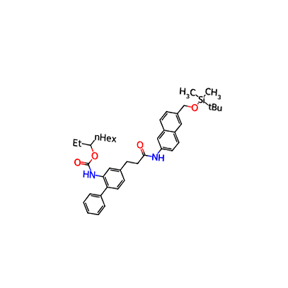 CCCCCCC(CC)OC(=O)Nc1cc(CCC(=O)Nc2ccc3cc(CO[Si](C)(C)C(C)(C)C)ccc3c2)ccc1-c1ccccc1